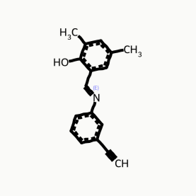 C#Cc1cccc(/N=C/c2cc(C)cc(C)c2O)c1